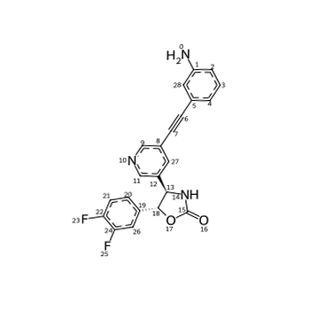 Nc1cccc(C#Cc2cncc([C@H]3NC(=O)O[C@@H]3c3ccc(F)c(F)c3)c2)c1